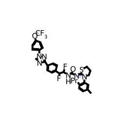 Cc1ccc(C(C)C)c(N2CCCS/C2=N\C(=O)NC(F)C(F)c2ccc(-c3ncn(-c4ccc(OC(F)(F)F)cc4)n3)cc2)c1